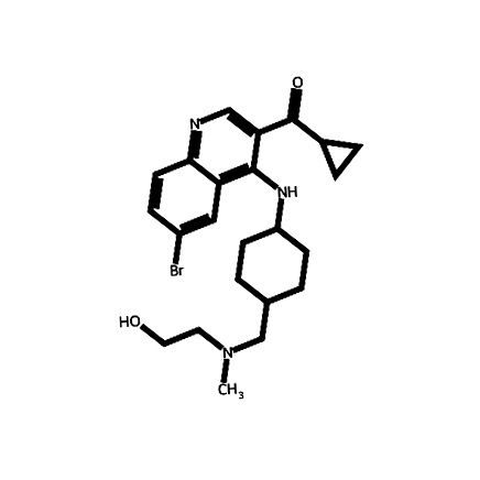 CN(CCO)CC1CCC(Nc2c(C(=O)C3CC3)cnc3ccc(Br)cc23)CC1